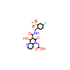 CS(=O)(=O)c1cc(F)ccc1CNC(=O)c1c(O)c2ncccc2n(CC(=O)O)c1=O